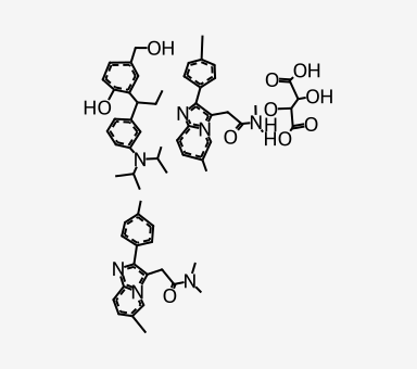 CCC(c1cccc(N(C(C)C)C(C)C)c1)c1cc(CO)ccc1O.Cc1ccc(-c2nc3ccc(C)cn3c2CC(=O)N(C)C)cc1.Cc1ccc(-c2nc3ccc(C)cn3c2CC(=O)N(C)C)cc1.O=C(O)C(O)C(O)C(=O)O